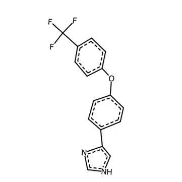 FC(F)(F)c1ccc(Oc2ccc(-c3c[nH]cn3)cc2)cc1